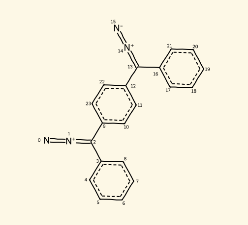 [N-]=[N+]=C(c1ccccc1)c1ccc(C(=[N+]=[N-])c2ccccc2)cc1